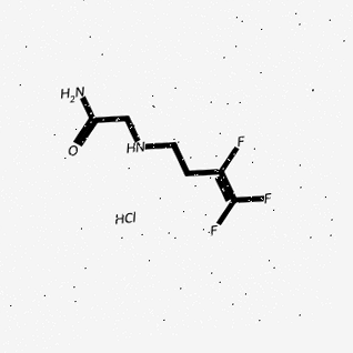 Cl.NC(=O)CNCCC(F)=C(F)F